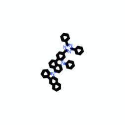 c1ccc(-c2nc(-c3ccccc3)nc(-c3ccc4c(c3)N(c3ccccc3)c3ccc(-n5c6ccccc6c6cc7ccccc7cc65)c5cccc-4c35)n2)cc1